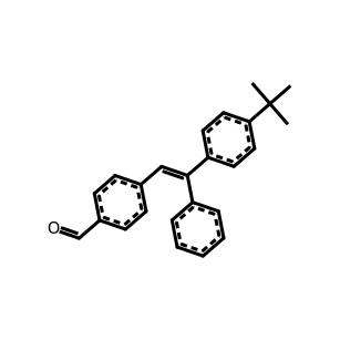 CC(C)(C)c1ccc(C(=Cc2ccc(C=O)cc2)c2ccccc2)cc1